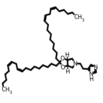 CCCCC/C=C\C/C=C\CCCCCCCCC1(CCCCCCCC/C=C\C/C=C\CCCCC)O[C@H]2CN(CCc3cnc[nH]3)C[C@H]2O1